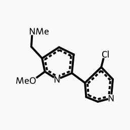 CNCc1ccc(-c2ccncc2Cl)nc1OC